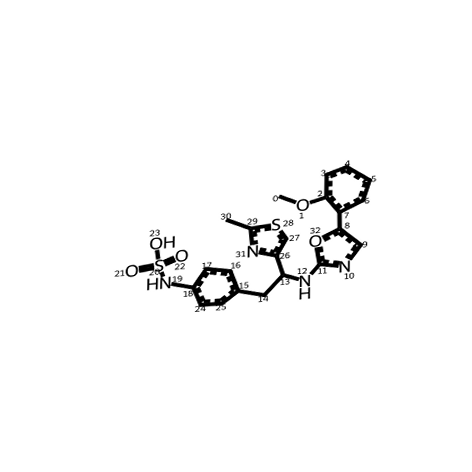 COc1ccccc1-c1cnc(NC(Cc2ccc(NS(=O)(=O)O)cc2)c2csc(C)n2)o1